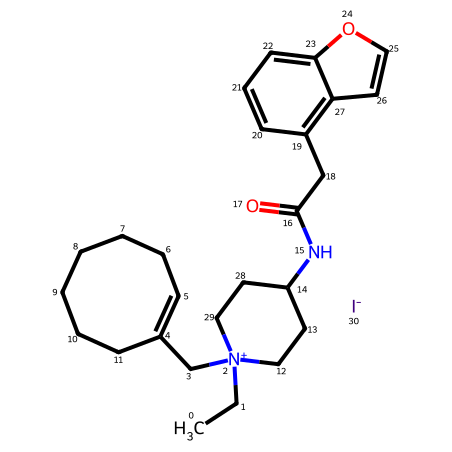 CC[N+]1(CC2=CCCCCCC2)CCC(NC(=O)Cc2cccc3occc23)CC1.[I-]